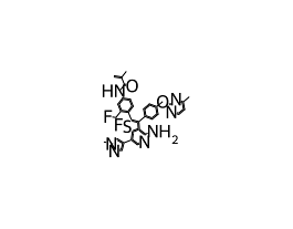 C=C(C)C(=O)Nc1ccc(-c2sc3c(-c4cnn(C)c4)cnc(N)c3c2-c2ccc(Oc3nccc(C)n3)cc2)c(C(F)F)c1